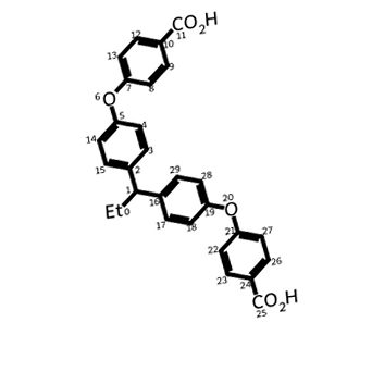 CCC(c1ccc(Oc2ccc(C(=O)O)cc2)cc1)c1ccc(Oc2ccc(C(=O)O)cc2)cc1